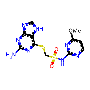 COc1ccnc(NS(=O)(=O)CSc2nc(N)nc3nc[nH]c23)n1